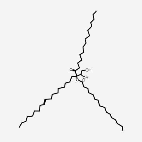 CCCCCCCCC=CCCCCCCCCC(OC(=O)CCCCCCCCCCCCCCC)(C(=O)CCCCCCCCCCCCCCC)C(O)CO